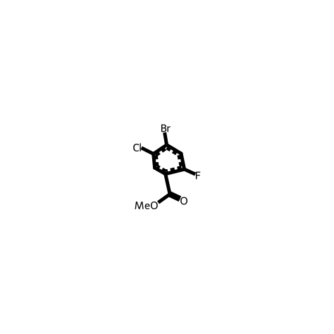 COC(=O)c1cc(Cl)c(Br)cc1F